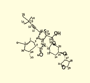 CC1=CC[C@H](C(=O)N(c2cc(C#CC(C)(C)C)sc2C(=O)O)[C@H]2CC[C@H](O[C@@H]3CCOC3)CC2)[C@H](C)C1